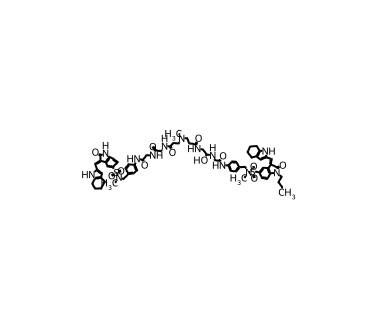 CCCCN1C(=O)/C(=C/c2cc3c([nH]2)CCCC3)c2cc(S(=O)(=O)N(C)Cc3ccc(NC(=O)CNC(O)CNC(=O)CCN(C)CCC(=O)NCC(=O)NCC(=O)Nc4ccc(CN(C)S(=O)(=O)c5ccc6c(c5)/C(=C\c5cc7c([nH]5)CCCC7)C(=O)N6)cc4)cc3)ccc21